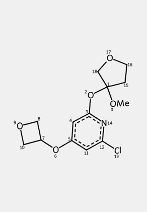 COC1(Oc2cc(OC3COC3)cc(Cl)n2)CCOC1